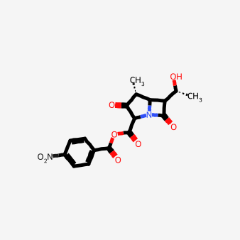 C[C@@H](O)C1C(=O)N2C(C(=O)OC(=O)c3ccc([N+](=O)[O-])cc3)C(=O)[C@H](C)C12